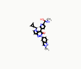 CNC(O)c1ccc(-c2c(=O)n(-c3ccc4nn(C)cc4c3)nc3ccn(CC4CC4)c23)cn1